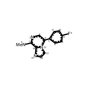 CNc1ncc(-c2ccc(F)cc2)n2ccnc12